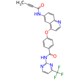 CC#CC(=O)Nc1ccc2nccc(Oc3ccc(C(=O)Nc4nccc(C(F)(F)F)n4)cc3)c2c1